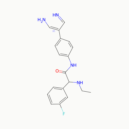 CCNC(C(=O)Nc1ccc(/C(C=N)=C/N)cc1)c1cccc(F)c1